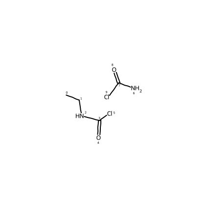 CCNC(=O)Cl.NC(=O)Cl